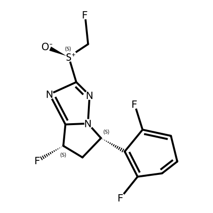 [O-][S@@+](CF)c1nc2n(n1)[C@H](c1c(F)cccc1F)C[C@@H]2F